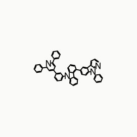 c1ccc(-c2cc(-c3cccc(-n4c5ccccc5c5c(-c6ccc7c(c6)c6cccnc6n7-c6ccccc6)cccc54)c3)cc(-c3ccccc3)n2)cc1